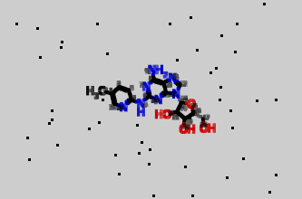 Cc1ccc(Nc2nc(N)c3ncn([C@@H]4O[C@H](CO)C(O)C4O)c3n2)nc1